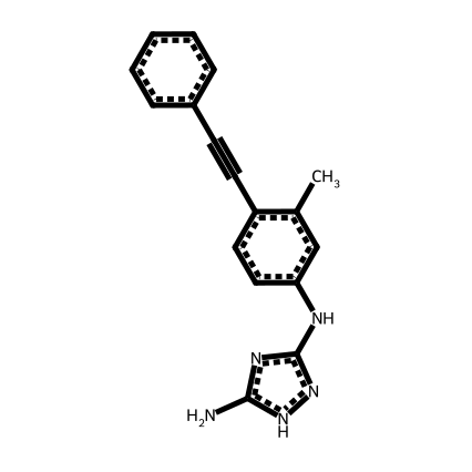 Cc1cc(Nc2n[nH]c(N)n2)ccc1C#Cc1ccccc1